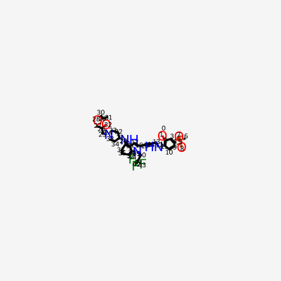 COc1cc(S(C)(=O)=O)ccc1NCC#Cc1cc2c(NC3CCN(CC4COC(C)(C)O4)CC3)cccc2n1CC(F)(F)F